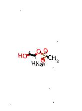 CS(=O)(=O)OCCO.[NaH]